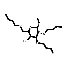 CCCCOCC1OC(OC)[C@H](OCCCC)C(OCCCC)C1O